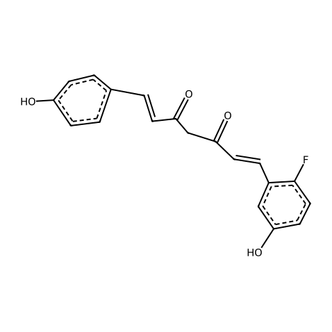 O=C(/C=C/c1ccc(O)cc1)CC(=O)/C=C/c1cc(O)ccc1F